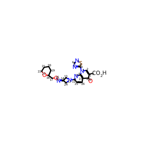 O=C(O)c1cn(-c2ncns2)c2nc(N3CC(=NOCC4CCCCO4)C3)ccc2c1=O